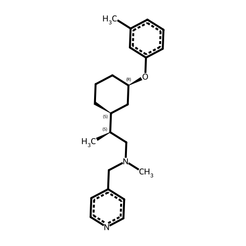 Cc1cccc(O[C@@H]2CCC[C@H]([C@H](C)CN(C)Cc3ccncc3)C2)c1